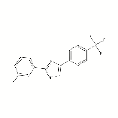 Cc1cccc(-c2nc(-c3ccc(C(F)(F)F)cc3)cs2)c1